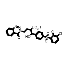 O=C(O)C(CCn1nnc2ccccc2c1=O)C(O)c1ccc(S(=O)(=O)c2cccc(Cl)c2Cl)cc1